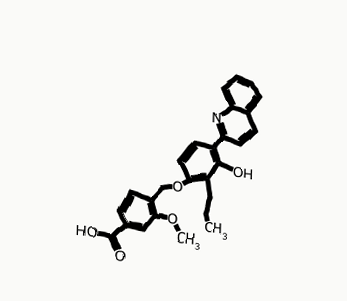 CCCc1c(OCc2ccc(C(=O)O)cc2OC)ccc(-c2ccc3ccccc3n2)c1O